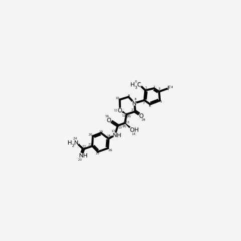 Cc1cc(F)ccc1N1CCO[C@H]([C@@H](O)C(=O)Nc2ccc(C(=N)N)cc2)C1=O